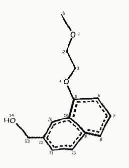 COCCOc1cccc2ccc(CO)cc12